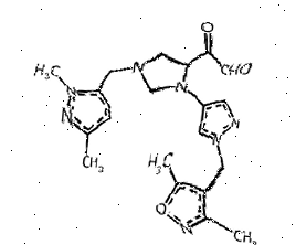 Cc1cc(CN2CC(C(=O)C=O)N(c3cnn(Cc4c(C)noc4C)c3)C2)n(C)n1